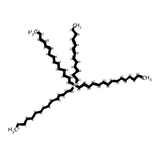 CCCCCCCCCCCCCCC[N+](CCCCCCCCCCCCC)(CCCCCCCCCCCCCCC)CCCCCCCCCCCCCCC